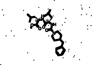 COC(=O)[C@H](CC(C)C)NC(=O)[C@H](CC(C)C)NC(=O)N1CCC(Cc2ccccc2)CC1